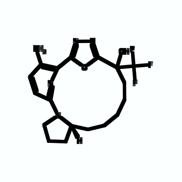 Nc1ccc2nc1-c1nnc(o1)C(O)(C(F)(F)F)CCCCC[C@@H]1CCCN21